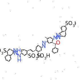 Cc1cc(-n2n3c4ccc5cc(S(=O)(=O)O)ccc5c4n23)c(C(=O)c2ccccc2)cc1N=Nc1ccc(C=Cc2ccc(Nn3[nH]c4cc(S(=O)(=O)O)c5ccccc5c43)cc2S(=O)(=O)O)c(S(=O)(=O)O)c1